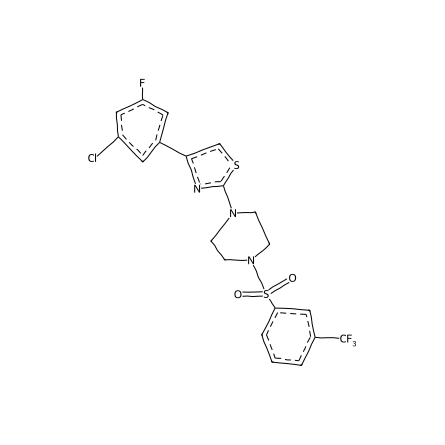 O=S(=O)(c1cccc(C(F)(F)F)c1)N1CCN(c2nc(-c3cc(F)cc(Cl)c3)cs2)CC1